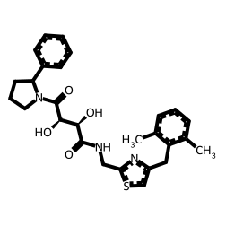 Cc1cccc(C)c1Cc1csc(CNC(=O)[C@H](O)[C@@H](O)C(=O)N2CCCC2c2ccccc2)n1